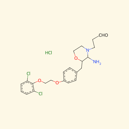 Cl.NC1C(Cc2ccc(OCCOc3c(Cl)cccc3Cl)cc2)OCCN1CCC=O